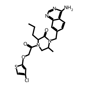 CCCC1C(=O)N(Cc2ccc3c(N)ncnc3c2)C(C)CN1C(=O)COc1cc(Cl)cs1